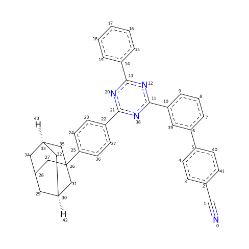 N#Cc1ccc(-c2cccc(-c3nc(-c4ccccc4)nc(-c4ccc(C56CC7C[C@H](C5)C[C@@H](C7)C6)cc4)n3)c2)cc1